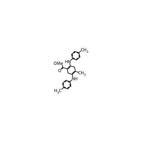 COC(=O)C1=C(Nc2ccc(C)cc2)CC(C)=C(Nc2ccc(C)cc2)C1